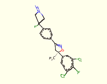 Fc1c(Cl)cc([C@@]2(C(F)(F)F)CC(c3ccc(C4(F)CNC4)cc3)=NO2)cc1Cl